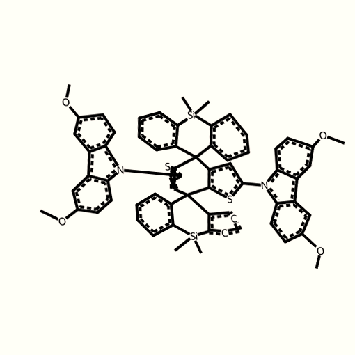 COc1ccc2c(c1)c1cc(OC)ccc1n2-c1cc2c(s1)C1(c3ccccc3[Si](C)(C)c3ccccc31)c1cc(-n3c4ccc(OC)cc4c4cc(OC)ccc43)sc1C21c2ccccc2[Si](C)(C)c2ccccc21